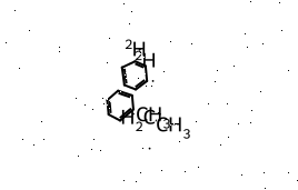 [2H][2H].[CH2]C.[CH3].[c]1ccccc1.[c]1ccccc1